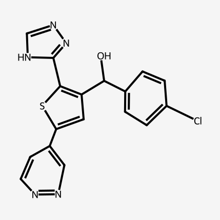 OC(c1ccc(Cl)cc1)c1cc(-c2ccnnc2)sc1-c1nnc[nH]1